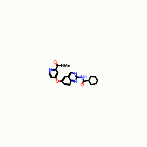 CNC(=O)c1cc(Oc2ccc3nc(NC(=O)C4CCCCC4)ncc3c2)ccn1